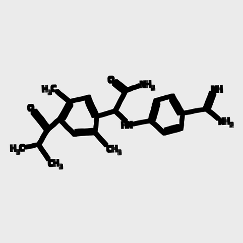 Cc1cc(C(Nc2ccc(C(=N)N)cc2)C(N)=O)c(C)cc1C(=O)C(C)C